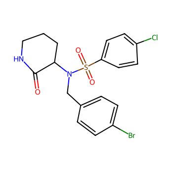 O=C1NCCCC1N(Cc1ccc(Br)cc1)S(=O)(=O)c1ccc(Cl)cc1